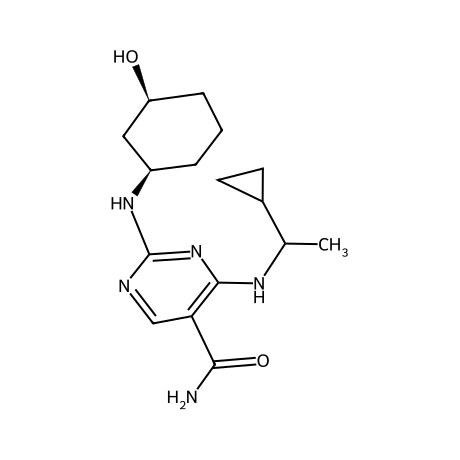 CC(Nc1nc(N[C@@H]2CCC[C@H](O)C2)ncc1C(N)=O)C1CC1